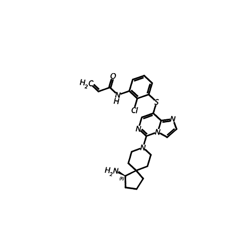 C=CC(=O)Nc1cccc(Sc2cnc(N3CCC4(CCC[C@H]4N)CC3)n3ccnc23)c1Cl